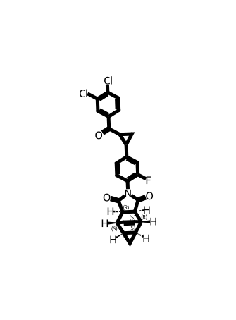 O=C(c1ccc(Cl)c(Cl)c1)C1CC1c1ccc(N2C(=O)[C@@H]3[C@@H]4C=C[C@@H]([C@H]5C[C@@H]45)[C@@H]3C2=O)c(F)c1